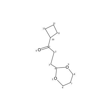 O=C(CCC1OCCCO1)C1CCC1